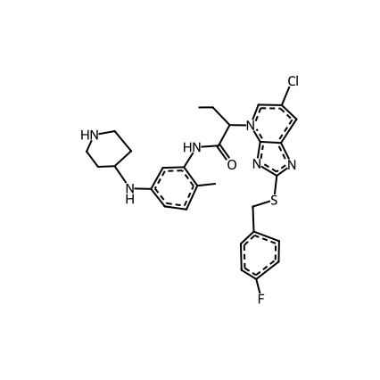 CCC(C(=O)Nc1cc(NC2CCNCC2)ccc1C)n1cc(Cl)cc2nc(SCc3ccc(F)cc3)nc1-2